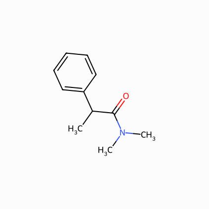 CC(C(=O)N(C)C)c1ccccc1